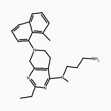 CCc1nc2c(c(N(C)CCCN)n1)CCN(c1cccc3cccc(C)c13)C2